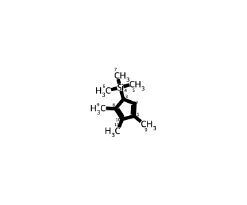 CC1=[C]C([Si](C)(C)C)C(C)=C1C